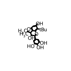 CC(C)(C)c1c(O)cc2c3c1OC(c1cc(O)c(O)c(O)c1)C(O)C3C(C)(C)O2